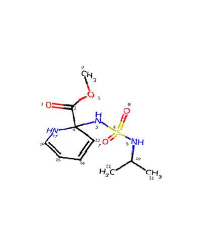 COC(=O)C1(NS(=O)(=O)NC(C)C)C=CC=CN1